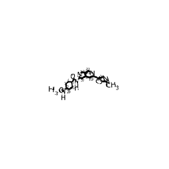 CNC1CCC(C(=O)Nc2cc3cc(-c4cnc(C)o4)ncc3cn2)CC1